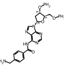 NCc1ccc(C(=O)Nc2ncnc3c2ncn3[C@H]2C[C@@H](OP)[C@@H](COP)O2)cc1